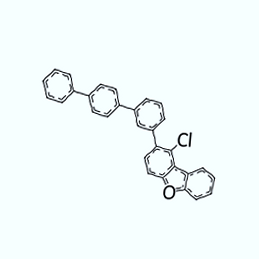 Clc1c(-c2cccc(-c3ccc(-c4ccccc4)cc3)c2)ccc2oc3ccccc3c12